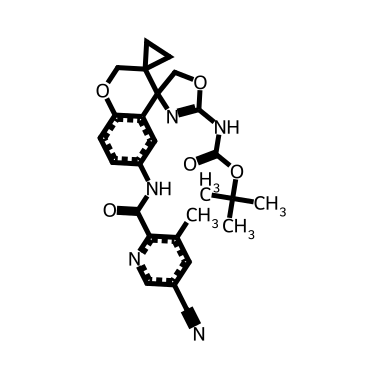 Cc1cc(C#N)cnc1C(=O)Nc1ccc2c(c1)C1(COC(NC(=O)OC(C)(C)C)=N1)C1(CC1)CO2